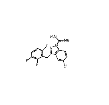 N=C(N)n1nc(Cc2c(F)ccc(F)c2F)c2cc(Cl)ccc21